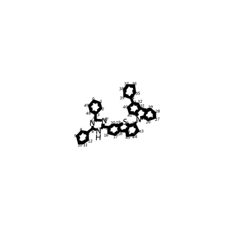 c1ccc(C2=NC(c3ccccc3)NC(c3ccc4c(c3)sc3c(-n5c6ccccc6c6cc(-c7ccccc7)ccc65)cccc34)=N2)cc1